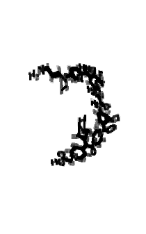 NCCCNc1ccc(-c2[nH]nc(C(F)(F)F)c2Cc2cnc(C(=O)Nc3ccc(C(=O)N4CCN(C(=O)C(C5CCN(CC(=O)O)CC5)C5CNC5)CC4)c(Cl)c3)[nH]2)nc1